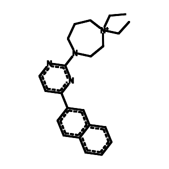 CC[N+]1(CC)CCCN(c2nccc(-c3ccc4ccccc4c3)n2)CC1